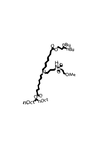 CCCCCCCCC(CCCCCCCC)OC(=O)CCCCCCCN(CCCCCCCC(=O)OCCC(CCCC)CCCC)CCCNS(=O)(=O)CCOC